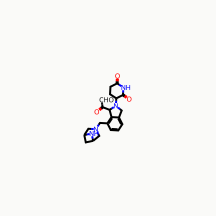 O=CC(=O)C1c2c(CN3CC4CC(C3)N4)cccc2CN1C1CCC(=O)NC1=O